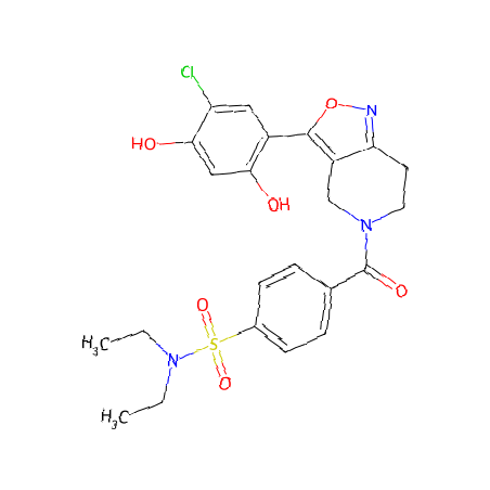 CCN(CC)S(=O)(=O)c1ccc(C(=O)N2CCc3noc(-c4cc(Cl)c(O)cc4O)c3C2)cc1